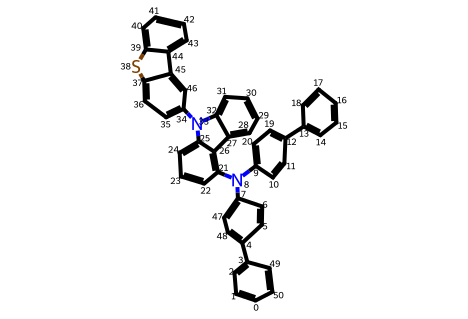 c1ccc(-c2ccc(N(c3ccc(-c4ccccc4)cc3)c3cccc4c3c3ccccc3n4-c3ccc4sc5ccccc5c4c3)cc2)cc1